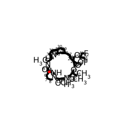 CC1NC(=O)[C@@H]2CCCN(N2)C(=O)[C@H](C)NC(=O)C(C(C)C)OC(=O)C2(/C=C/c3ccc4ccc1nc4c3)COC(CF)(CF)OC2